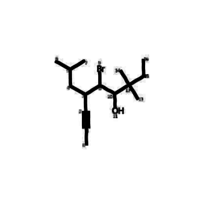 CC#CC(CC(C)C)C(Br)C(O)C(C)(C)CC